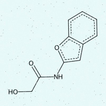 O=C(CO)Nc1cc2ccccc2o1